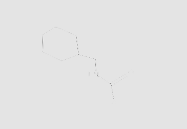 [O]C(=O)NCC1CCCCC1